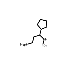 CCCCCCCCCC(NCCCC)C1CCCC1